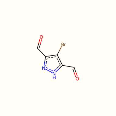 O=Cc1n[nH]c(C=O)c1Br